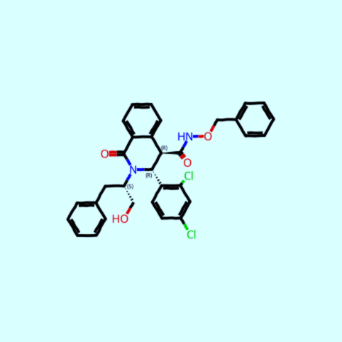 O=C(NOCc1ccccc1)[C@@H]1c2ccccc2C(=O)N([C@H](CO)Cc2ccccc2)[C@H]1c1ccc(Cl)cc1Cl